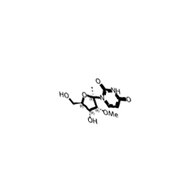 CO[C@@H]1[C@H](O)[C@@H](CO)O[C@@]1(C)n1ccc(=O)[nH]c1=O